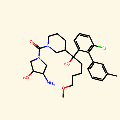 COCCCCC(O)(c1cccc(Cl)c1-c1cccc(C)c1)C1CCCN(C(=O)N2CC(N)C(O)C2)C1